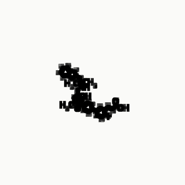 CN(C[C@H](O)CNC(C)(C)CC1Cc2ccccc2C1)S(=O)(=O)c1ccc(-c2ccc(F)c(/C=C/C(=O)O)c2)cc1